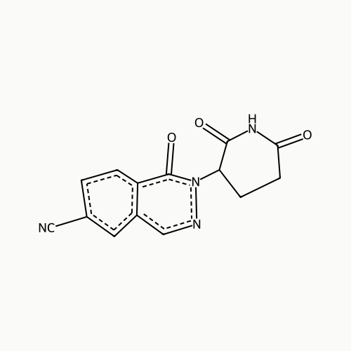 N#Cc1ccc2c(=O)n(C3CCC(=O)NC3=O)ncc2c1